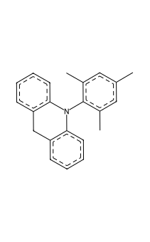 Cc1cc(C)c(N2c3ccccc3Cc3ccccc32)c(C)c1